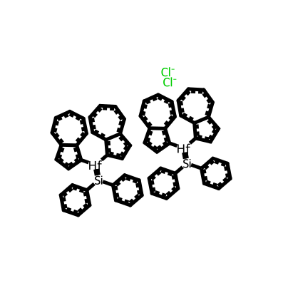 [Cl-].[Cl-].c1ccc([Si](c2ccccc2)=[Hf]([c]2ccc3cccccc2-3)[c]2ccc3cccccc2-3)cc1.c1ccc([Si](c2ccccc2)=[Hf]([c]2ccc3cccccc2-3)[c]2ccc3cccccc2-3)cc1